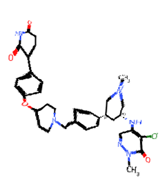 CN1C[C@H](Nc2cnn(C)c(=O)c2Cl)C[C@H](c2ccc(CN3CCC(Oc4ccc(C5CCC(=O)NC5=O)cc4)CC3)cc2)C1